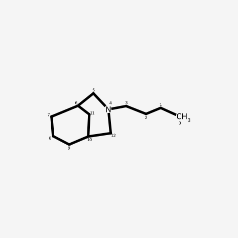 CCCCN1CC2CCCC(C2)C1